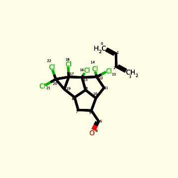 C=CC=C.O=CC1CC2C3C1CC(Cl)(Cl)C3(Cl)C1(Cl)C2C1(Cl)Cl